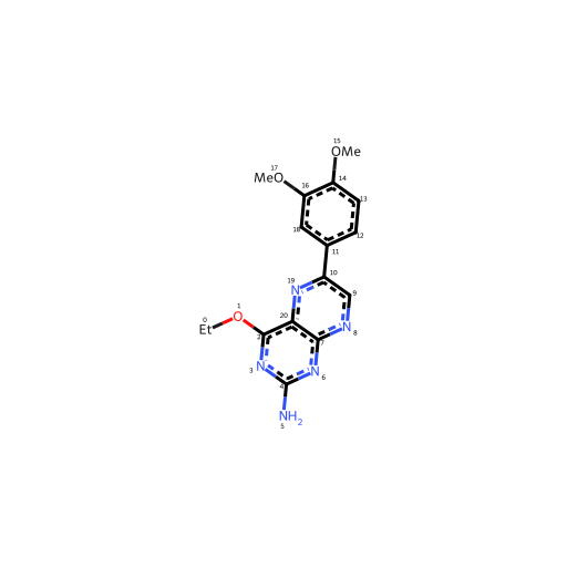 CCOc1nc(N)nc2ncc(-c3ccc(OC)c(OC)c3)nc12